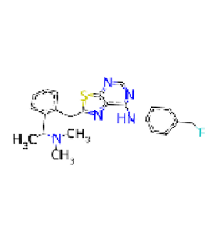 CC(c1ccccc1Cc1nc2c(Nc3ccc(CF)cc3)ncnc2s1)N(C)C